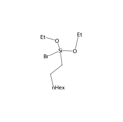 CCCCCCCC[Si](Br)(OCC)OCC